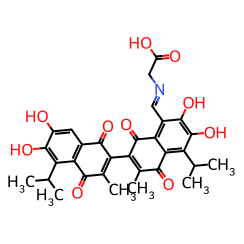 CC1=C(C2=C(C)C(=O)c3c(c(/C=N/CC(=O)O)c(O)c(O)c3C(C)C)C2=O)C(=O)c2cc(O)c(O)c(C(C)C)c2C1=O